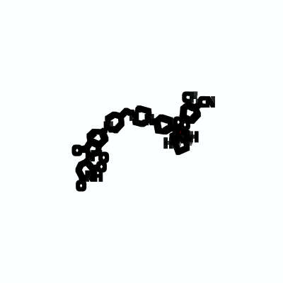 N#Cc1ccc(O[C@H]2C[C@H]3CC[C@@H](C2)N3C(=O)c2ccc(N3CCN(CC4CCN(c5ccc6c(c5)C(=O)N(C5CCC(=O)NC5=O)C6=O)CC4)CC3)cc2)cc1C(F)(F)F